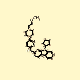 COCCN1CCN(c2ccc(Nc3ncc4c5ccncc5n(C5CCCC5)c4n3)nn2)CC1